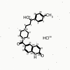 Cc1ccc(C(O)CCN2CCN(C(=O)c3ccc4[nH]c(=O)ccc4c3)CC2)cc1.Cl